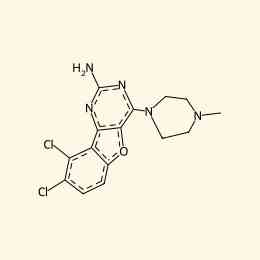 CN1CCN(c2nc(N)nc3c2oc2ccc(Cl)c(Cl)c23)CC1